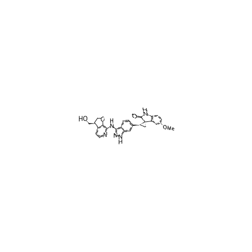 COc1ccc2c(c1)[C@]1(C[C@H]1c1ccc3c(Nc4nccc5c4OC[C@@H]5CO)n[nH]c3c1)C(=O)N2